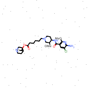 COc1nc(N)c(Cl)cc1C(=O)NC1CCN(CCCCCC(=O)OC2CN3CCC2CC3)CC1OC